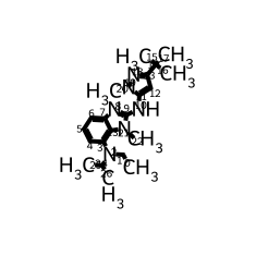 CCN(c1cccc2nc(Nc3cc(C(C)(C)C)nn3C)n(C)c12)C(C)C